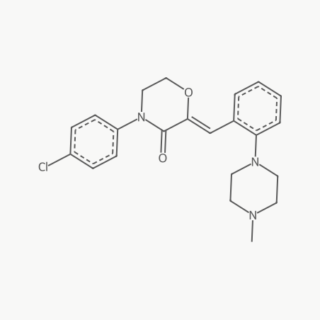 CN1CCN(c2ccccc2C=C2OCCN(c3ccc(Cl)cc3)C2=O)CC1